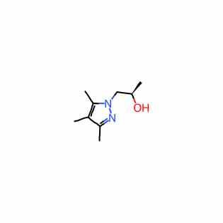 Cc1nn(C[C@@H](C)O)c(C)c1C